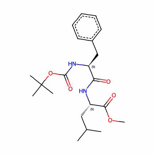 COC(=O)[C@H](CC(C)C)NC(=O)[C@H](Cc1ccccc1)NC(=O)OC(C)(C)C